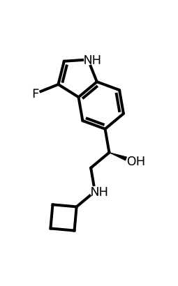 O[C@@H](CNC1CCC1)c1ccc2[nH]cc(F)c2c1